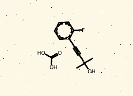 CC(C)(O)C#Cc1ccccc1F.O=C(O)O